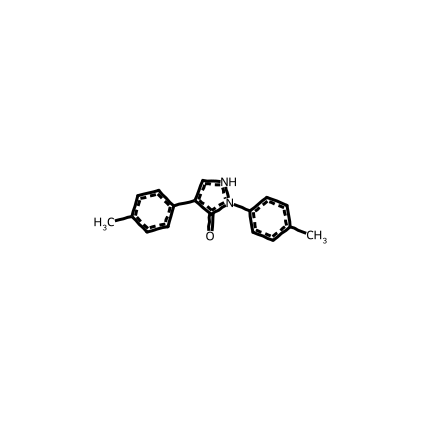 Cc1ccc(-c2c[nH]n(-c3ccc(C)cc3)c2=O)cc1